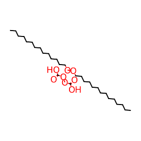 CCCCCCCCCCCCCCOOCCCCCCCCCCCCCC.O=C(O)OOC(=O)O